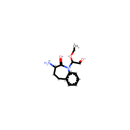 CCOC(C=O)N1C(=O)C(N)CCc2ccccc21